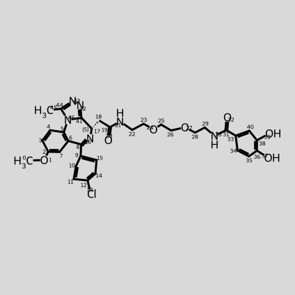 COc1ccc2c(c1)C(c1ccc(Cl)cc1)=N[C@@H](CC(=O)NCCOCCOCCNC(=O)c1ccc(O)c(O)c1)c1nnc(C)n1-2